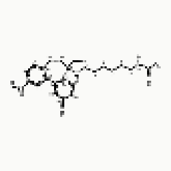 CCC1(OCCCCCCNC(C)=O)CCc2ccc(OC)cc2-c2cc(=O)ccn21